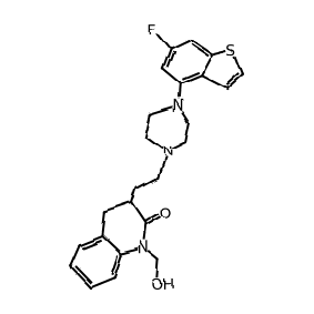 O=C1C(CCN2CCN(c3cc(F)cc4sccc34)CC2)Cc2ccccc2N1CO